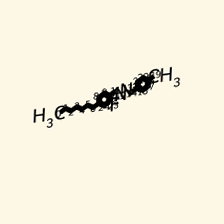 CCCCCCCc1ccc(C=NN=Cc2ccc(C)cc2)c(F)c1